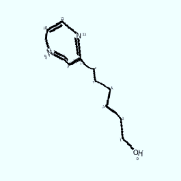 OCCCCCCc1cnccn1